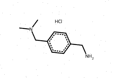 CN(C)Cc1ccc(CN)cc1.Cl